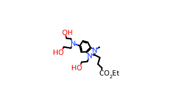 CCOC(=O)CCCc1n(C)c2ccc(N(CCO)CCO)cc2[n+]1CCO